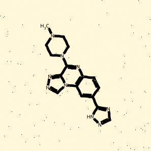 CN1CCN(c2nc3ccc(-c4ncn[nH]4)cc3n3cnnc23)CC1